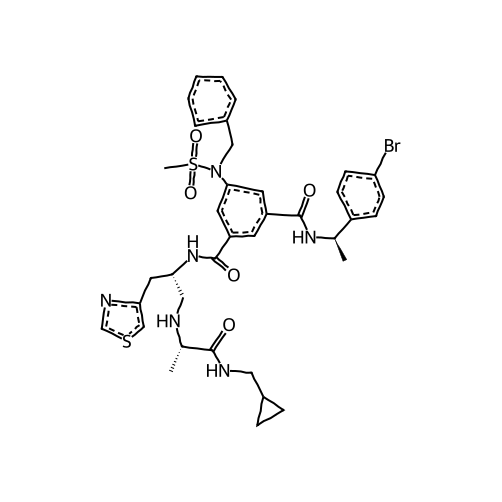 C[C@H](NC[C@H](Cc1cscn1)NC(=O)c1cc(C(=O)N[C@H](C)c2ccc(Br)cc2)cc(N(Cc2ccccc2)S(C)(=O)=O)c1)C(=O)NCC1CC1